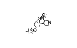 CC(C)(C)[Si](C)(C)O[C@H]1C=CO[C@@H](c2ccncc2[N+](=O)[O-])C1